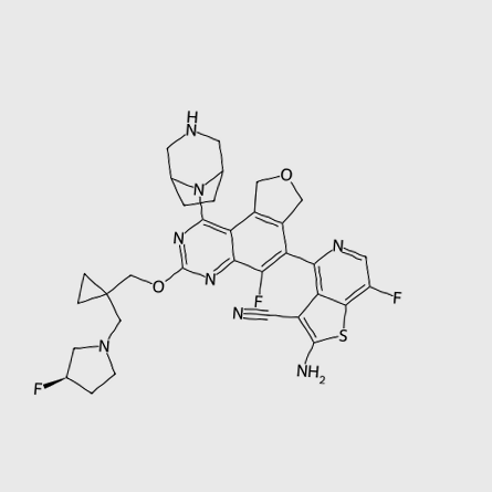 N#Cc1c(N)sc2c(F)cnc(-c3c4c(c5c(N6C7CCC6CNC7)nc(OCC6(CN7CC[C@@H](F)C7)CC6)nc5c3F)COC4)c12